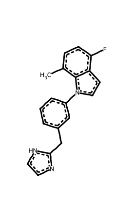 Cc1ccc(F)c2ccn(-c3cccc(Cc4ncc[nH]4)c3)c12